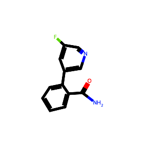 NC(=O)c1ccccc1-c1cncc(F)c1